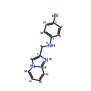 Brc1ccc(NCc2cn3ccccc3n2)cc1